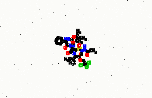 C=C(C)C(C(=O)OCC(Cl)(Cl)Cl)N1C(=O)C(NC(=O)C(NC(=O)OC(C)(C)C)c2ccccc2)C1[S+]([O-])NNC(C)=O